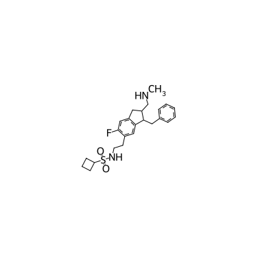 CNCC1Cc2cc(F)c(CCNS(=O)(=O)C3CCC3)cc2C1Cc1ccccc1